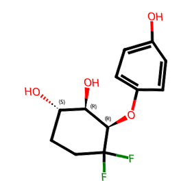 Oc1ccc(O[C@@H]2[C@H](O)[C@@H](O)CCC2(F)F)cc1